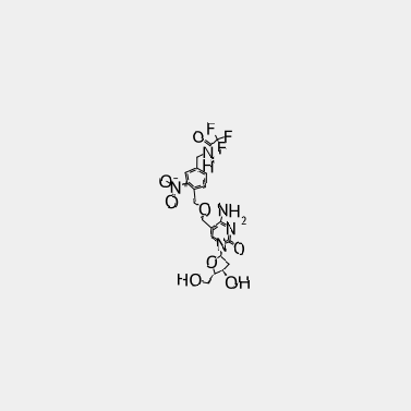 Nc1nc(=O)n([C@H]2C[C@@H](O)[C@@H](CO)O2)cc1COCc1ccc(CNC(=O)C(F)(F)F)cc1[N+](=O)[O-]